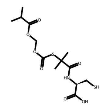 CC(C)C(=O)OCOC(=O)SC(C)(C)C(=O)N[C@@H](CS)C(=O)O